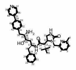 Cc1cccc(CN2C(=O)NCC2[C@@H](C(=O)N[C@@H](Cc2ccccc2)C[C@H](O)[C@@H](N)Cc2ccc(-c3ccncc3)cc2)C(C)(C)C)n1